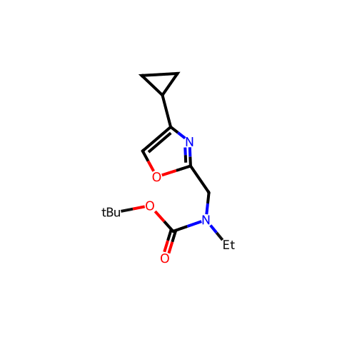 CCN(Cc1nc(C2CC2)co1)C(=O)OC(C)(C)C